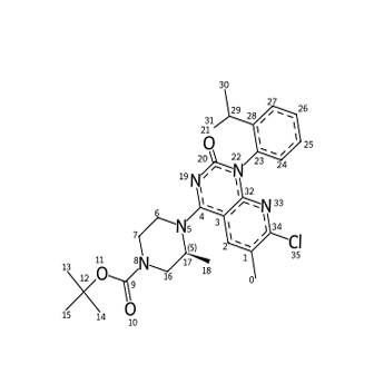 Cc1cc2c(N3CCN(C(=O)OC(C)(C)C)C[C@@H]3C)nc(=O)n(-c3ccccc3C(C)C)c2nc1Cl